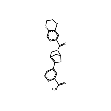 NC(=O)c1cccc(C2=C3CC(C2)N(C(=O)c2ccc4c(c2)OCCO4)C3)c1